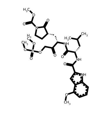 COC(=O)N1CC[C@@H](C[C@H](NC(=O)[C@H](CC(C)C)NC(=O)c2cc3c(OC)cccc3[nH]2)C(=O)COP(=O)(OC)OC)C1=O